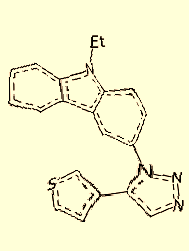 CCn1c2ccccc2c2cc(-n3nncc3-c3ccsc3)ccc21